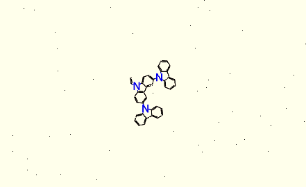 C=Cn1c2ccc(-n3c4ccccc4c4ccccc43)cc2c2cc(-n3c4ccccc4c4ccccc43)ccc21